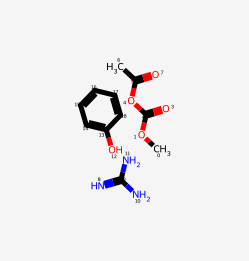 COC(=O)OC(C)=O.N=C(N)N.Oc1ccccc1